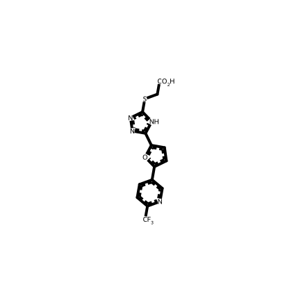 O=C(O)CSc1nnc(-c2ccc(-c3ccc(C(F)(F)F)nc3)o2)[nH]1